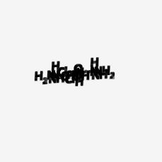 N=C(N)NCCCCCCNC(=O)C(Cc1cc(Cl)c(OCCCCNC(=N)N)c(Cl)c1)=NO